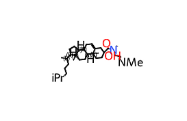 CNCCN(C)C(=O)C1(O)CC[C@@]2(C)C(=CC[C@H]3[C@@H]4CC[C@H]([C@H](C)CCCC(C)C)[C@@]4(C)CC[C@@H]32)C1